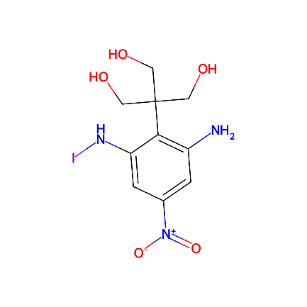 Nc1cc([N+](=O)[O-])cc(NI)c1C(CO)(CO)CO